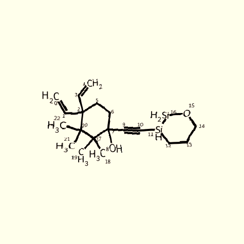 C=CC1(C=C)CCC(O)(C#C[SiH]2CCCO[SiH2]2)C(C)(C)C1(C)C